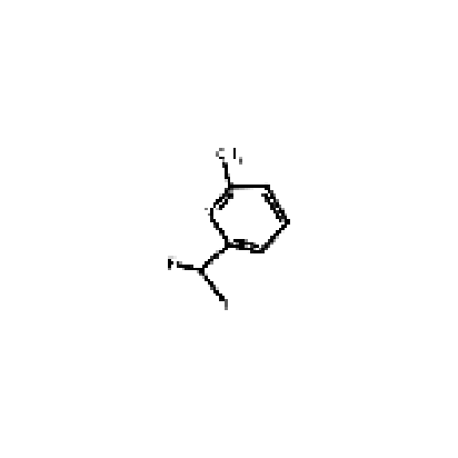 Cc1cccc(C(F)I)n1